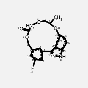 CC1CCNC(=O)OCc2cc(F)cc(c2)-c2n[nH]c3ccc(cc23)O1